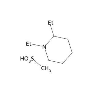 CCC1CCCCN1CC.CS(=O)(=O)O